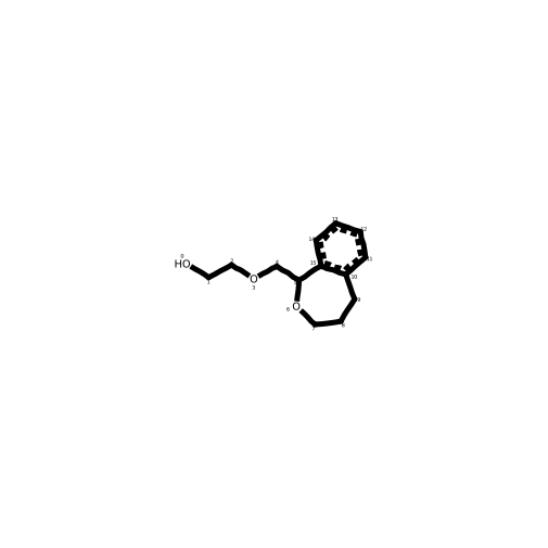 OCCOCC1OCCCc2ccccc21